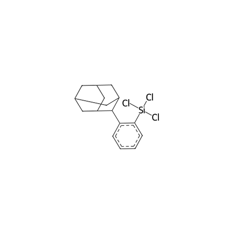 Cl[Si](Cl)(Cl)c1ccccc1C1C2CC3CC(C2)CC1C3